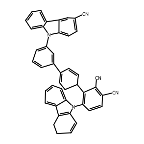 N#Cc1ccc2c(c1)c1ccccc1n2-c1cccc(C2=CCC(c3c(-n4c5c(c6ccccc64)CCC=C5)ccc(C#N)c3C#N)C=C2)c1